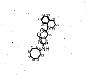 O=C1N=C(NC2CCCCCCC2)SC1CC(=O)N1CCCc2ccccc21